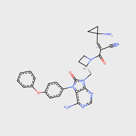 N#C/C(=C\C1(N)CC1)C(=O)N1CC[C@H]1Cn1c(=O)n(-c2ccc(Oc3ccccc3)cc2)c2c(N)ncnc21